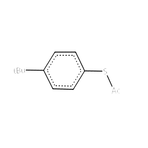 CC(=O)Sc1ccc(C(C)(C)C)cc1